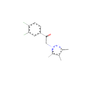 CCOC(=O)c1nn(CC(=O)c2ccc(Cl)c(F)c2)c(C(=O)OCC)c1C(F)(F)F